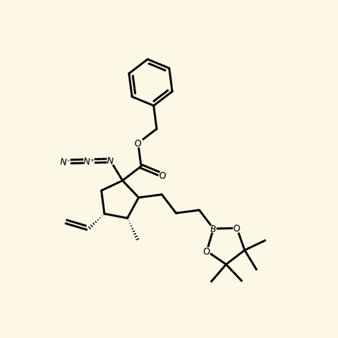 C=C[C@@H]1CC(N=[N+]=[N-])(C(=O)OCc2ccccc2)C(CCCB2OC(C)(C)C(C)(C)O2)[C@@H]1C